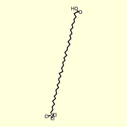 O=C(O)CCCCCCCCCCCCCCCCCCCCCCCCCCCCCCCCCCCCC[Si](Cl)(Cl)Cl